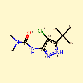 CN(C)C(=O)Nc1n[nH]c(C(C)(C)C)c1Cl